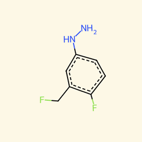 NNc1ccc(F)c(CF)c1